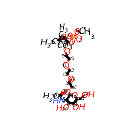 COP(=O)(O)O[C@H](COCCOCCOCCO[C@@H]1O[C@H](CO)[C@H](O)[C@H](O)[C@H]1NC(C)=O)CC(C)(C)C